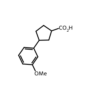 COc1cccc(C2CCC(C(=O)O)C2)c1